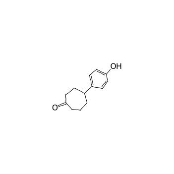 O=C1CCCC(c2ccc(O)cc2)CC1